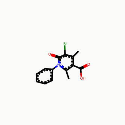 Cc1c(C(=O)O)c(C)n(-c2ccccc2)c(=O)c1Br